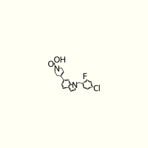 O=C(O)N1CC=C(c2ccc3ccn(Cc4ccc(Cl)cc4F)c3c2)CC1